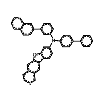 c1ccc(-c2ccc(N(c3cccc(-c4ccc5ccccc5c4)c3)c3ccc4c(c3)oc3cc5ccncc5cc34)cc2)cc1